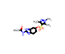 COC(=O)Nc1nc2ccc(OS(=O)(=O)c3c(C)nn(C)c3C)cc2[nH]1